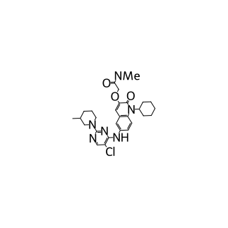 CNC(=O)COc1cc2cc(Nc3nc(N4CCCC(C)C4)ncc3Cl)ccc2n(C2CCCCC2)c1=O